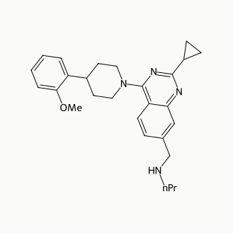 CCCNCc1ccc2c(N3CCC(c4ccccc4OC)CC3)nc(C3CC3)nc2c1